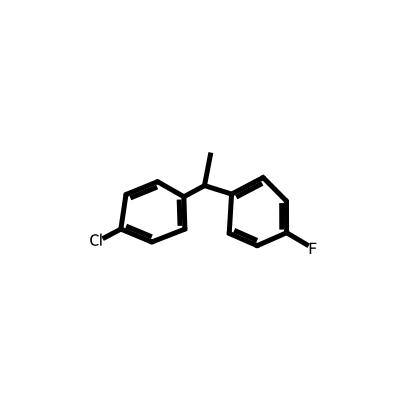 CC(c1ccc(F)cc1)c1ccc(Cl)cc1